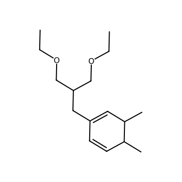 CCOCC(COCC)CC1=CC(C)C(C)C=C1